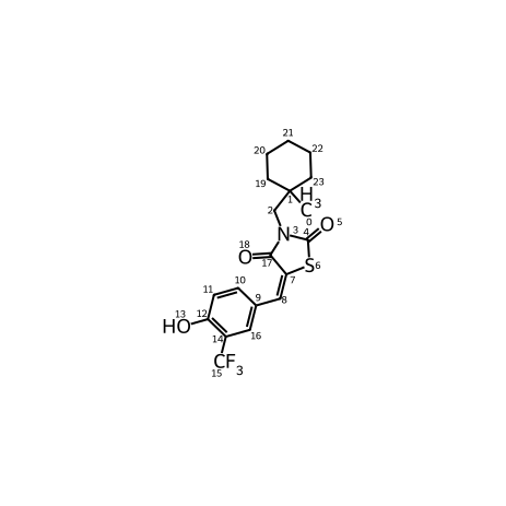 CC1(CN2C(=O)S/C(=C/c3ccc(O)c(C(F)(F)F)c3)C2=O)CCCCC1